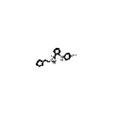 FC(F)(F)c1ccc(Nc2ccccc2-c2nnn(CCc3ccccc3)n2)cc1